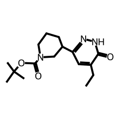 CCc1cc(C2CCCN(C(=O)OC(C)(C)C)C2)n[nH]c1=O